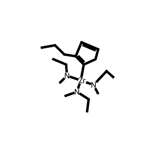 CCCC1=[C]([Zr]([N](C)CC)([N](C)CC)[N](C)CC)CC=C1